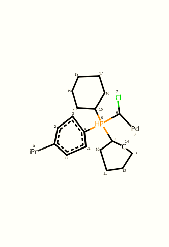 CC(C)c1ccc([PH]([CH](Cl)[Pd])(C2CCCCC2)C2CCCCC2)cc1